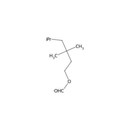 CC(C)CC(C)(C)CCO[C]=O